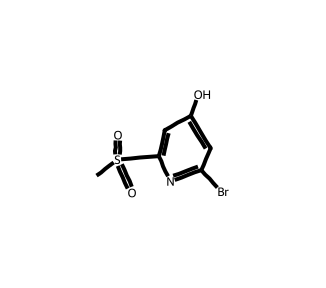 CS(=O)(=O)c1cc(O)cc(Br)n1